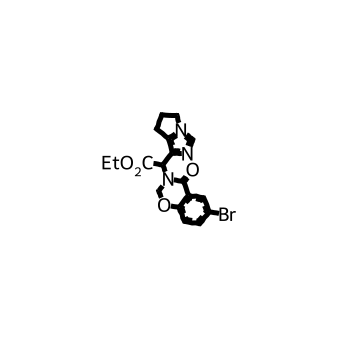 CCOC(=O)C(c1ncn2c1CCC2)N1COc2ccc(Br)cc2C1=O